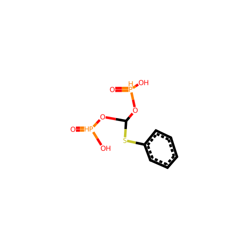 O=[PH](O)OC(O[PH](=O)O)Sc1ccccc1